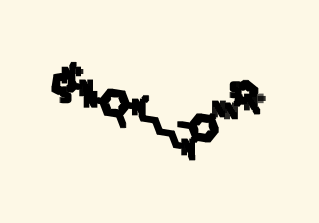 Cc1cc(N=Nc2scc[n+]2C)ccc1N(C)CCCCCN(C)c1ccc(N=Nc2scc[n+]2C)cc1C